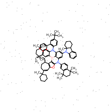 CCC1CCC(C2(C)CCCCC2)=Cc2oc3c(c21)B1c2cc4c(cc2N(c2ccc(C(C)(C)C)cc2-c2ccccc2)c2cc(N5c6ccccc6C6CCCCC65C)cc(c21)N3c1ccc2c(c1)C(C)(C)CCC2(C)C)C(C)(C)CCC4(C)C